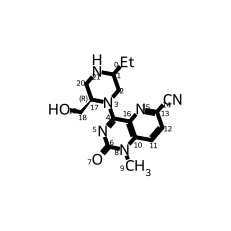 CCC1CN(c2nc(=O)n(C)c3ccc(C#N)nc23)[C@@H](CO)CN1